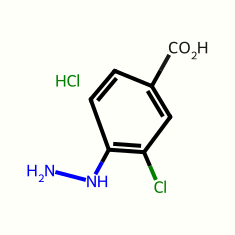 Cl.NNc1ccc(C(=O)O)cc1Cl